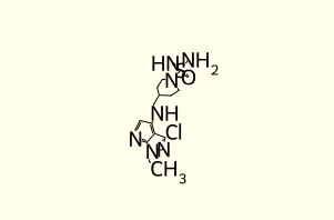 CCn1nc(Cl)c2c(NCC3CCN(S(=N)(N)=O)CC3)ccnc21